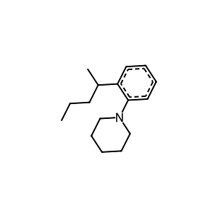 CCCC(C)c1ccccc1N1CCCCC1